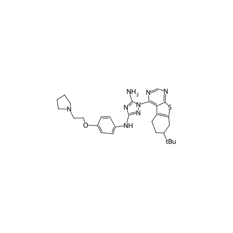 CC(C)(C)C1CCc2c(sc3ncnc(-n4nc(Nc5ccc(OCCN6CCCC6)cc5)nc4N)c23)C1